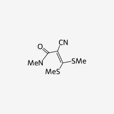 CNC(=O)C(C#N)=C(SC)SC